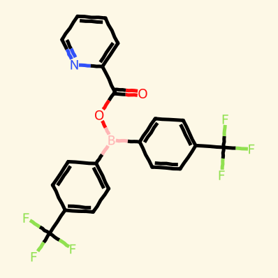 O=C(OB(c1ccc(C(F)(F)F)cc1)c1ccc(C(F)(F)F)cc1)c1ccccn1